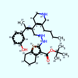 CCCCC1=C(/C(CNNc2sc3c(c2C(=O)OC(C)(C)C)CCCC3)=C(\C)c2cccc(O)c2)CCNC1